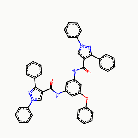 O=C(Nc1cc(NC(=O)c2cn(-c3ccccc3)nc2-c2ccccc2)cc(Oc2ccccc2)c1)c1cn(-c2ccccc2)nc1-c1ccccc1